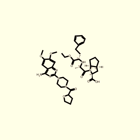 CCOC(=O)[C@H](CCc1ccccc1)N[C@@H](C)C(=O)N1[C@H](C(=O)O)C[C@@H]2CCC[C@@H]21.COc1cc2nc(N3CCN(C(=O)C4CCCO4)CC3)nc(N)c2cc1OC